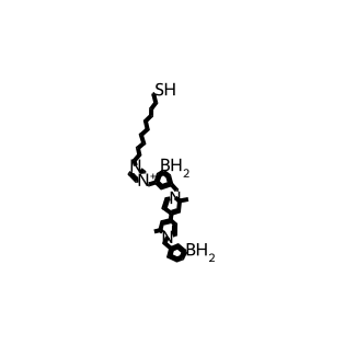 Bc1cccc(CN2C=CC(C3=CC(C)N(Cc4cc(B)cc(C[n+]5ccn(CCCCCCCCCCCS)c5)c4)C=C3)=CC2C)c1